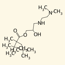 CN(C)CCNCC(O)COC(=O)C(C)(CC(C)(C)C)C(C)(C)C